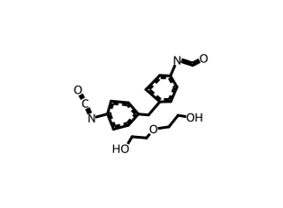 O=C=Nc1ccc(Cc2ccc(N=C=O)cc2)cc1.OCCOCCO